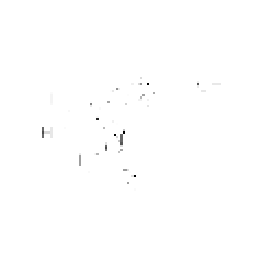 CCCC1NC(c2cc(S(=O)(=O)N3CCC(CCO)CC3)ccc2OCC)=Nn2cc(/C=N/O)c(C)c21